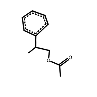 C[C](COC(C)=O)c1ccccc1